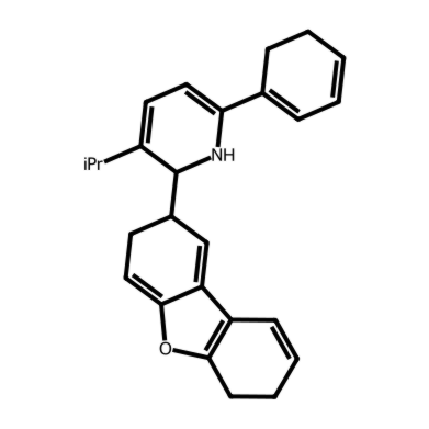 CC(C)C1=CC=C(C2=CC=CCC2)NC1C1C=c2c3c(oc2=CC1)CCC=C3